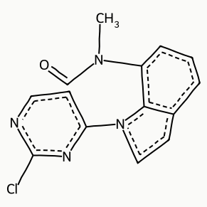 CN(C=O)c1cccc2ccn(-c3ccnc(Cl)n3)c12